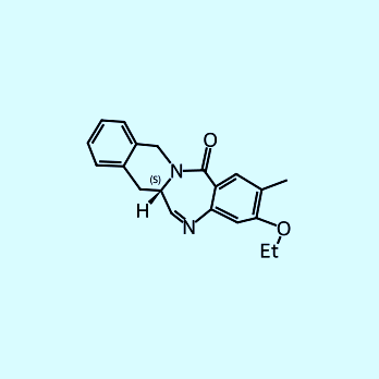 CCOc1cc2c(cc1C)C(=O)N1Cc3ccccc3C[C@H]1C=N2